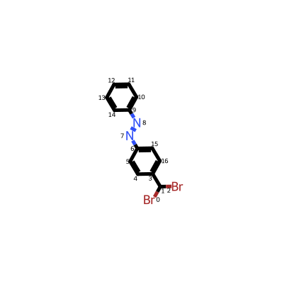 BrC(Br)c1ccc(N=Nc2ccccc2)cc1